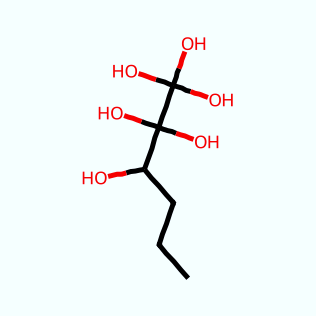 CCCC(O)C(O)(O)C(O)(O)O